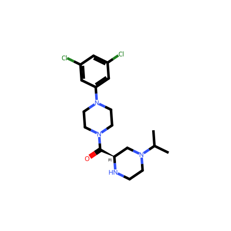 CC(C)N1CCN[C@@H](C(=O)N2CCN(c3cc(Cl)cc(Cl)c3)CC2)C1